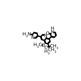 COc1c(C(C)(C)C)cc(-c2ccc[nH]c2=O)c2ncc(-c3ccc(N)nc3)cc12